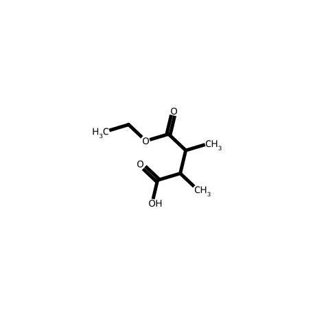 CCOC(=O)C(C)C(C)C(=O)O